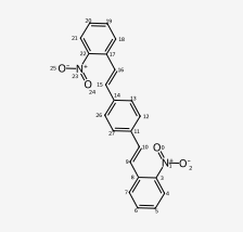 O=[N+]([O-])c1ccccc1C=Cc1ccc(C=Cc2ccccc2[N+](=O)[O-])cc1